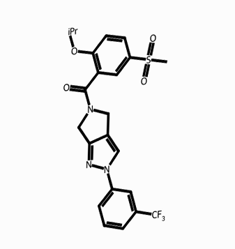 CC(C)Oc1ccc(S(C)(=O)=O)cc1C(=O)N1Cc2cn(-c3cccc(C(F)(F)F)c3)nc2C1